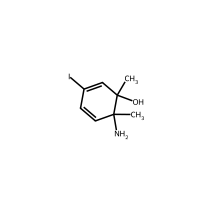 CC1(N)C=CC(I)=CC1(C)O